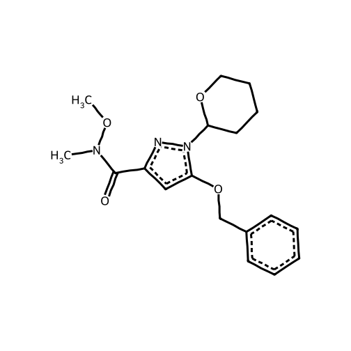 CON(C)C(=O)c1cc(OCc2ccccc2)n(C2CCCCO2)n1